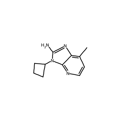 Cc1ccnc2c1nc(N)n2C1CCC1